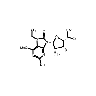 CCC(OC(C)=O)[C@H]1O[C@@H](n2c(=O)n(CC(F)(F)F)c3c(OC)nc(N)nc32)[C@H](OC(C)=O)[C@H]1F